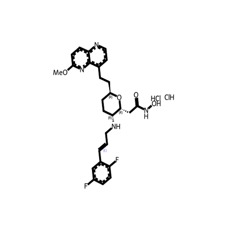 COc1ccc2nccc(CC[C@@H]3CC[C@@H](NC/C=C/c4cc(F)ccc4F)[C@@H](CC(=O)NO)O3)c2n1.Cl.Cl